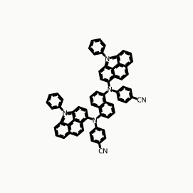 N#Cc1ccc(N(c2cccc3c(N(c4ccc(C#N)cc4)c4ccc5c6c4ccc4cccc(c46)n5-c4ccccc4)cccc23)c2ccc3c4c2ccc2cccc(c24)n3-c2ccccc2)cc1